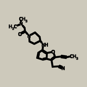 CC#Cc1oc2c(NC3CCN(C(=O)CN(C)C)CC3)cccc2c1CC#N